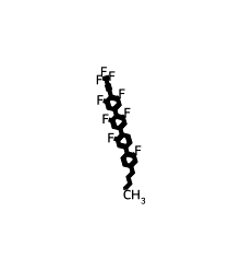 CCCCCc1ccc(-c2ccc(-c3cc(F)c(-c4cc(F)c(C#CC(F)(F)F)c(F)c4)c(F)c3)c(F)c2)c(F)c1